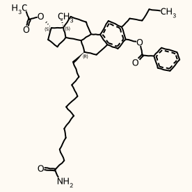 CCCCc1cc2c(cc1OC(=O)c1ccccc1)C[C@@H](CCCCCCCCCCC(N)=O)C1C2CC[C@@]2(C)C1CC[C@@H]2OC(C)=O